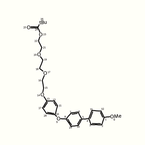 COc1ccc(-c2ccc(Oc3ccc(OCCOCCOCCOC(=O)C(C)(C)C)cc3)cc2)cc1